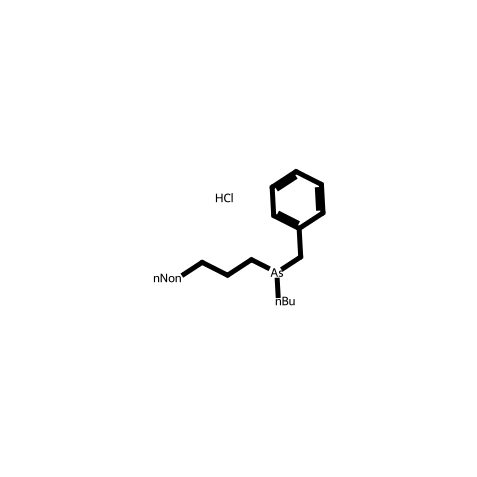 CCCCCCCCCCCC[As](CCCC)Cc1ccccc1.Cl